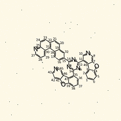 c1ccc2c(c1)oc1cncc(-c3nc(-c4ccc5c(ccc6ccc7ncccc7c65)c4)nc(-c4cccc5oc6ccncc6c45)n3)c12